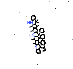 CC1C2=C(C(C)C3=C1C(C)C1=C(C3C)C(c3ccccc3)(c3ccccc3)C3=C(N1)C(C)C1=C(C3C)C(C)C3=C(Nc4ccccc4C34c3ccccc3-c3ccccc34)C1C)C(C)(C)c1ccccc1N2